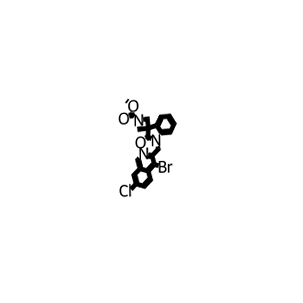 COC(=O)N1CC2(C1)C(=O)N(Cc1ncc3cc(Cl)ccc3c1Br)c1ccccc12